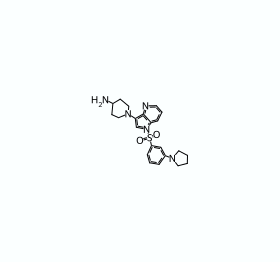 NC1CCN(c2cn(S(=O)(=O)c3cccc(N4CCCC4)c3)c3cccnc23)CC1